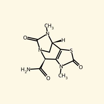 CN1C(=O)N2C[C@H]1c1sc(=O)n(C)c1[C@H]2C(N)=O